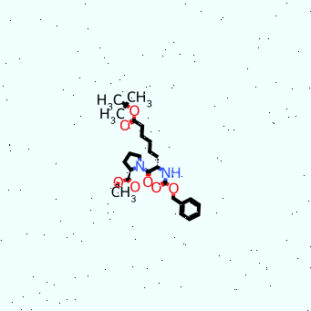 COC(=O)[C@H]1CCCN1C(=O)[C@H](CCCCCC(=O)OC(C)(C)C)NC(=O)OCc1ccccc1